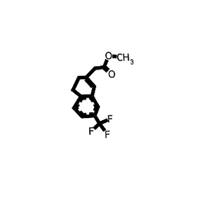 COC(=O)CC1=Cc2cc(C(F)(F)F)ccc2CC1